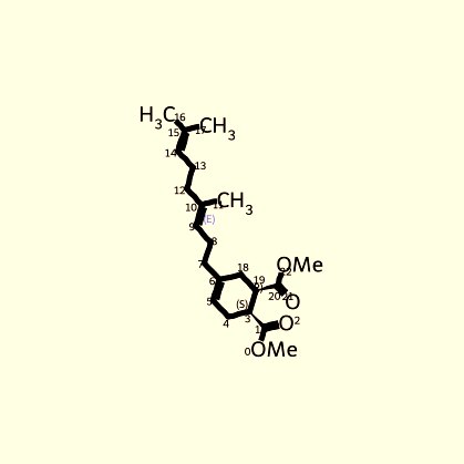 COC(=O)[C@H]1CC=C(CC/C=C(\C)CCC=C(C)C)C[C@H]1C(=O)OC